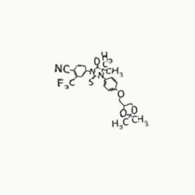 CC1(C)OCC(COc2ccc(N3C(=S)N(c4ccc(C#N)c(C(F)(F)F)c4)C(=O)C3(C)C)cc2)O1